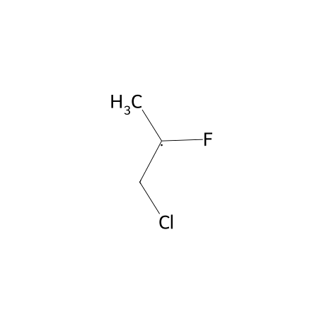 C[C](F)CCl